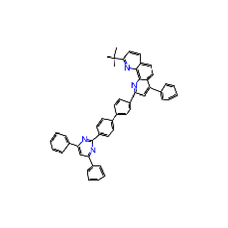 CC(C)(C)c1ccc2ccc3c(-c4ccccc4)cc(-c4ccc(-c5ccc(-c6nc(-c7ccccc7)cc(-c7ccccc7)n6)cc5)cc4)nc3c2n1